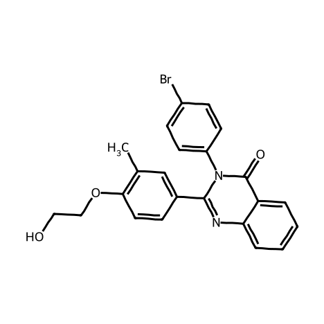 Cc1cc(-c2nc3ccccc3c(=O)n2-c2ccc(Br)cc2)ccc1OCCO